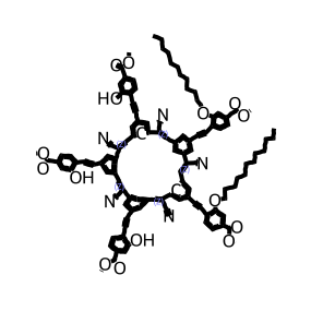 CCCCCCCCCCCCOc1cc(C(=O)OC)ccc1C#Cc1cc2cc(c1)/C(C#N)=C/c1cc(C#Cc3ccc(C(=O)OC)cc3OCCCCCCCCCCCC)cc(c1)/C(C#N)=C/c1cc(C#Cc3ccc(C(=O)OC)cc3O)cc(c1)/C(C#N)=C/c1cc(C#Cc3ccc(C(=O)OC)cc3O)cc(c1)/C(C#N)=C/c1cc(C#Cc3ccc(C(=O)OC)cc3O)cc(c1)/C(C#N)=C/2